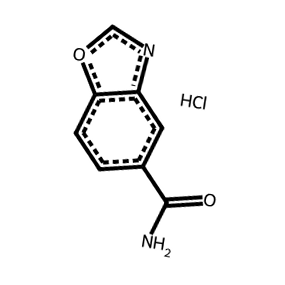 Cl.NC(=O)c1ccc2ocnc2c1